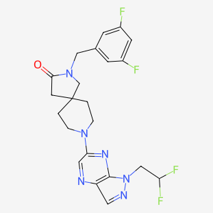 O=C1CC2(CCN(c3cnc4cnn(CC(F)F)c4n3)CC2)CN1Cc1cc(F)cc(F)c1